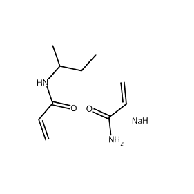 C=CC(=O)NC(C)CC.C=CC(N)=O.[NaH]